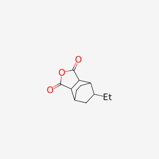 CCC1CC2CCC1C1C(=O)OC(=O)C21